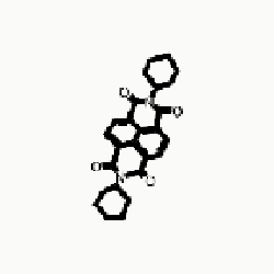 O=C1c2ccc3c4c(ccc(c24)C(=O)N1C1CCCCC1)C(=O)N(C1CCCCC1)C3=O